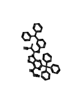 CONc1nc(C(c2ccccc2)(c2ccccc2)c2ccccc2)nc2c1ncn2[C@H](Oc1cccc(C(c2ccccc2)c2ccccc2)c1)C(C)O